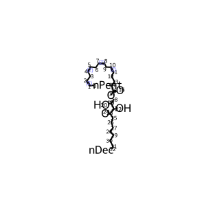 CCCCC/C=C\C/C=C\C/C=C\C/C=C\CCCC(=O)OC[C@H](O)C(O)C(=O)CCCCCCCCCCCCCCCCC